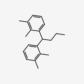 CCCC(c1cccc(C)c1C)c1cccc(C)c1C